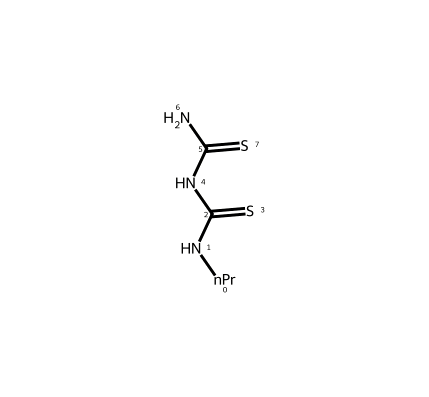 CCCNC(=S)NC(N)=S